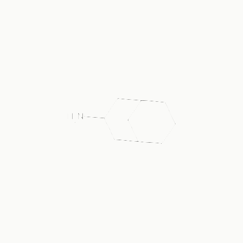 NC1C[C]2CCCC(C2)C1